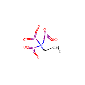 CC[N+](P(=O)=O)(P(=O)=O)P(=O)=O